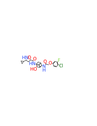 O=C(COc1ccc(Cl)c(F)c1)NC12CCC(NC(=O)C3CC(C4CC4)NO3)(CC1)C(O)C2